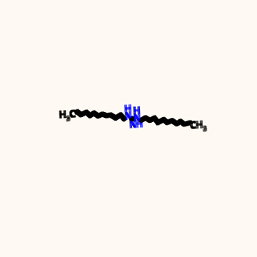 CCCCCCCCCCCCCNC(=N)NCCCCCCCCCCCCC